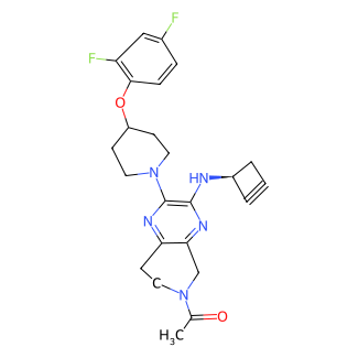 CC(=O)N1CCc2nc(N3CCC(Oc4ccc(F)cc4F)CC3)c(N[C@@H]3C#CC3)nc2C1